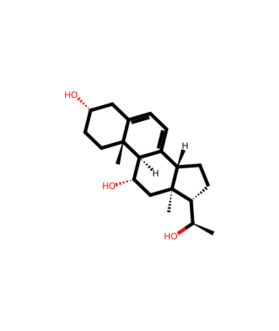 C[C@@H](O)[C@H]1CC[C@H]2C3=CC=C4C[C@@H](O)CC[C@@]4(C)[C@@H]3[C@@H](O)C[C@]12C